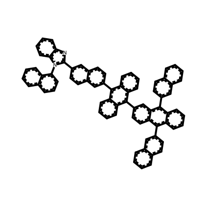 c1ccc2cc(-c3c4ccccc4c(-c4ccc5ccccc5c4)c4cc(-c5c6ccccc6c(-c6ccc7cc(-c8nc9ccccc9n8-c8cccc9ccccc89)ccc7c6)c6ccccc56)ccc34)ccc2c1